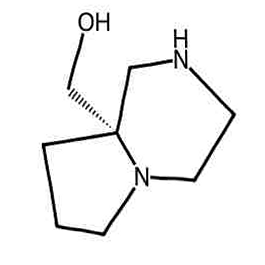 OC[C@@]12CCCN1CCNC2